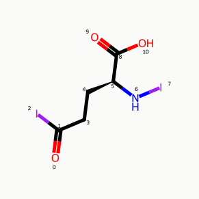 O=C(I)CC[C@H](NI)C(=O)O